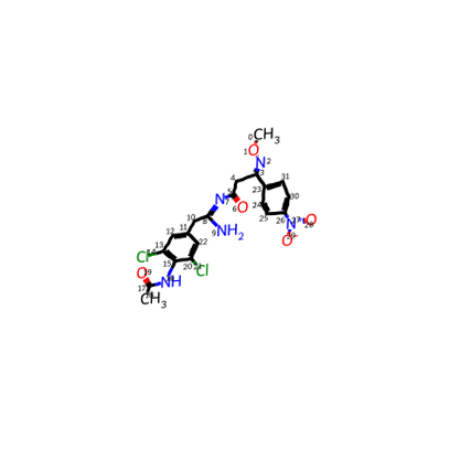 CO/N=C(\CC(=O)/N=C(\N)Cc1cc(Cl)c(NC(C)=O)c(Cl)c1)c1ccc([N+](=O)[O-])cc1